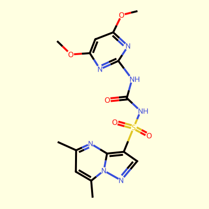 COc1cc(OC)nc(NC(=O)NS(=O)(=O)c2cnn3c(C)cc(C)nc23)n1